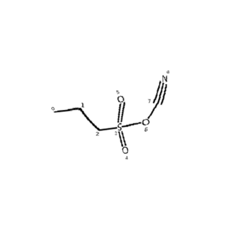 CCCS(=O)(=O)OC#N